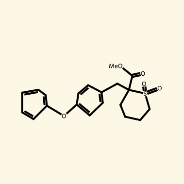 COC(=O)C1(Cc2ccc(Oc3ccccc3)cc2)CCCCS1(=O)=O